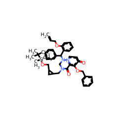 C=CCOc1ccccc1C(c1ccccc1)N1CN(CC2CC2CO[Si](C)(C)C(C)(C)C)C(=O)c2c(OCc3ccccc3)c(=O)ccn21